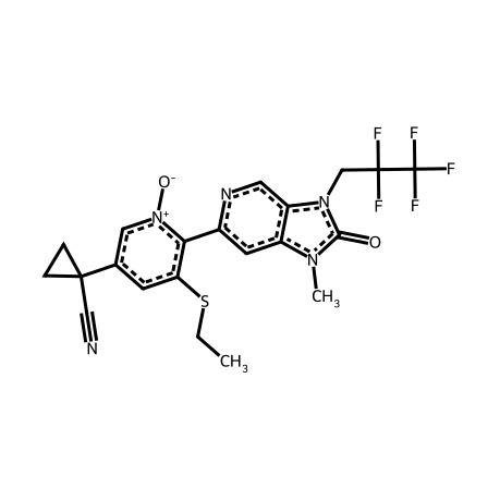 CCSc1cc(C2(C#N)CC2)c[n+]([O-])c1-c1cc2c(cn1)n(CC(F)(F)C(F)(F)F)c(=O)n2C